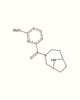 COc1cccc(C(=O)N2CCC3CCC(C2)N3)n1